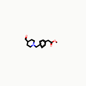 COC(=O)Cc1ccc(CN2CCC(C=O)CC2)cc1